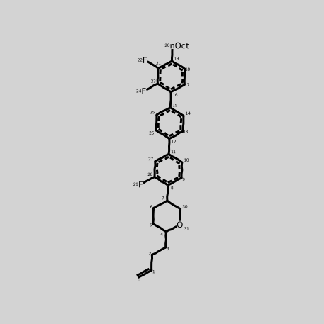 C=CCCC1CCC(c2ccc(-c3ccc(-c4ccc(CCCCCCCC)c(F)c4F)cc3)cc2F)CO1